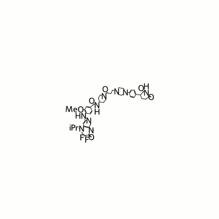 COc1cc(C(=O)NC2CCN(C(=O)CCN3CCN(c4ccc(C5CCC(=O)NC5=O)cc4)CC3)CC2)ccc1Nc1cc2c(cn1)N(C)C(=O)C(F)(F)CN2C(C)C